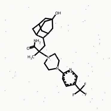 CC(CC1C2CC3CC1CC(O)(C3)C2)(C(N)=O)N1CCN(c2ccc(C(F)(F)F)cn2)CC1